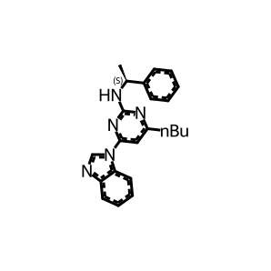 CCCCc1cc(-n2cnc3ccccc32)nc(N[C@@H](C)c2ccccc2)n1